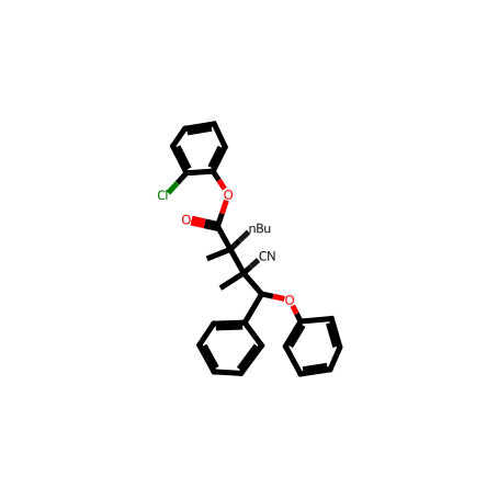 CCCCC(C)(C(=O)Oc1ccccc1Cl)C(C)(C#N)C(Oc1ccccc1)c1ccccc1